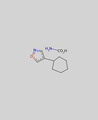 NC(=O)O.c1nocc1C1CCCCC1